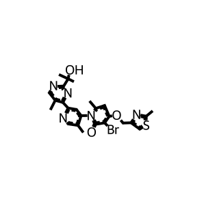 Cc1nc(COc2cc(C)n(-c3cc(-c4nc(C(C)(C)O)ncc4C)ncc3C)c(=O)c2Br)cs1